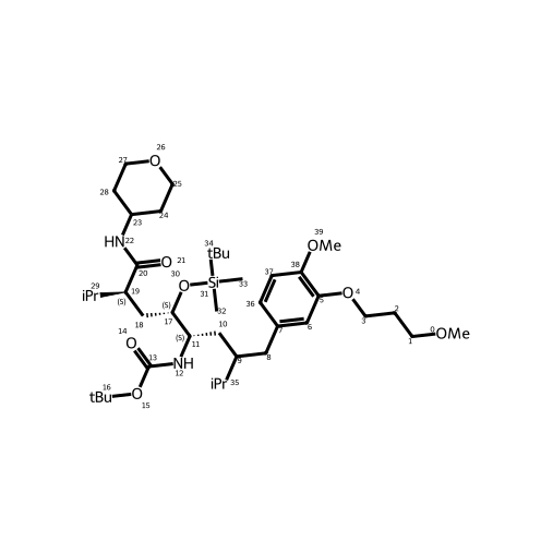 COCCCOc1cc(CC(C[C@H](NC(=O)OC(C)(C)C)[C@H](C[C@H](C(=O)NC2CCOCC2)C(C)C)O[Si](C)(C)C(C)(C)C)C(C)C)ccc1OC